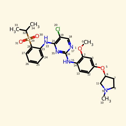 COc1cc(O[C@H]2CCN(C)C2)ccc1Nc1ncc(Cl)c(Nc2ccccc2S(=O)(=O)C(C)C)n1